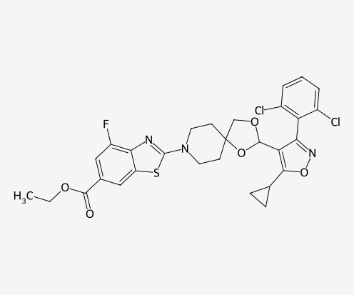 CCOC(=O)c1cc(F)c2nc(N3CCC4(CC3)COC(c3c(-c5c(Cl)cccc5Cl)noc3C3CC3)O4)sc2c1